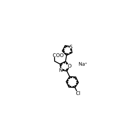 O=C([O-])Cc1nc(-c2ccc(Cl)cc2)oc1-c1ccsc1.[Na+]